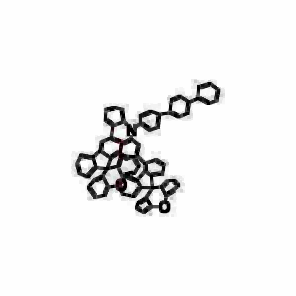 c1ccc(-c2ccc(-c3ccc(N(c4cccc(-c5cccc6c5-c5ccccc5C65c6ccccc6Oc6ccccc65)c4)c4ccccc4-c4ccc5c(c4)-c4ccccc4C54c5ccccc5Oc5ccccc54)cc3)cc2)cc1